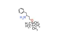 CC(C)(C)[Si](C)(C)OCCC(N)Cc1ccccc1